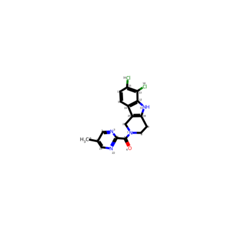 Cc1cnc(C(=O)N2CCc3[nH]c4c(Cl)c(Cl)ccc4c3C2)nc1